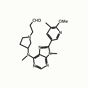 COc1ncc(-c2nc3c(N(C)C4CCN(CCC=O)C4)ncnc3n2C)cc1C